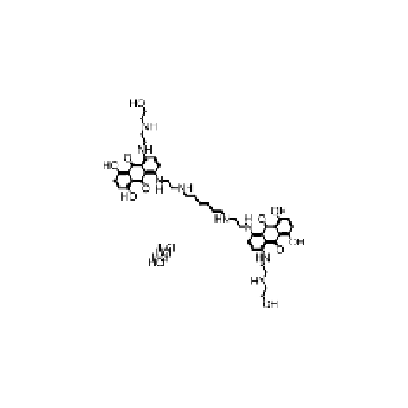 Cl.Cl.Cl.Cl.O=C1c2c(O)ccc(O)c2C(=O)c2c(NCCNCCCCCCNCCNc3ccc(NCCNCCO)c4c3C(=O)c3c(O)ccc(O)c3C4=O)ccc(NCCNCCO)c21